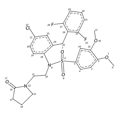 COc1ccc(S(=O)(=O)N(CCN2CCCC2=O)c2ccc(Cl)cc2Cc2c(F)cccc2F)cc1OC